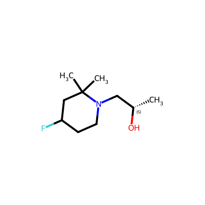 C[C@H](O)CN1CCC(F)CC1(C)C